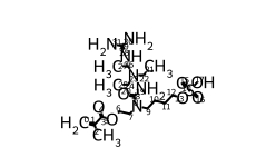 C=C(C)C(=O)OCCN(CCCCOS(=O)(=O)O)C(N)=O.CCN(CC)CC.N=C(N)N